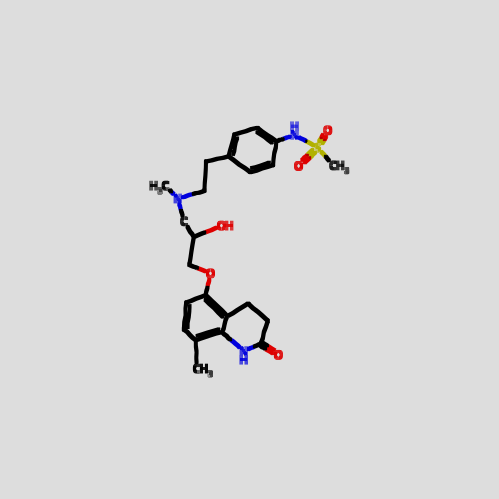 Cc1ccc(OCC(O)CN(C)CCc2ccc(NS(C)(=O)=O)cc2)c2c1NC(=O)CC2